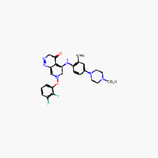 COc1cc(N2CCN(C(=O)O)CC2)ccc1NC1=C2C(=O)CN=NC2=CN(Oc2cccc(F)c2F)C1